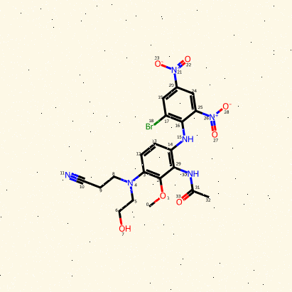 COc1c(N(CCO)CCC#N)ccc(Nc2c(Br)cc([N+](=O)[O-])cc2[N+](=O)[O-])c1NC(C)=O